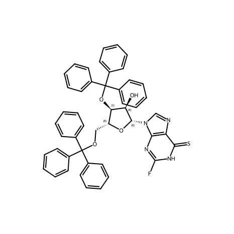 O[C@@H]1[C@H](OC(c2ccccc2)(c2ccccc2)c2ccccc2)[C@@H](COC(c2ccccc2)(c2ccccc2)c2ccccc2)O[C@H]1n1cnc2c(=S)[nH]c(F)nc21